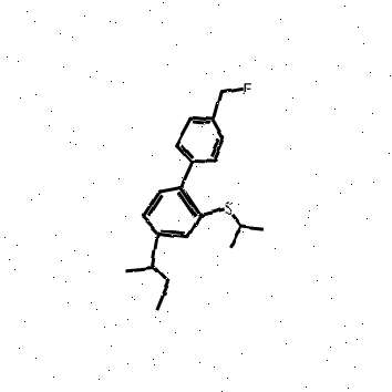 CCC(C)c1ccc(-c2ccc(CF)cc2)c(SC(C)C)c1